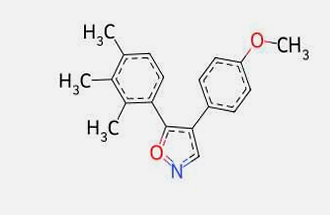 COc1ccc(-c2cnoc2-c2ccc(C)c(C)c2C)cc1